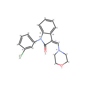 O=C1/C(=C\N2CCOCC2)c2ccccc2N1c1cccc(Cl)c1